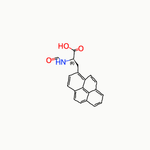 O=CN[C@H](Cc1ccc2ccc3cccc4ccc1c2c34)C(=O)O